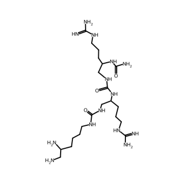 N=C(N)NCCCC(CNC(=O)NC(CCCNC(=N)N)CNC(=O)NCCCCC(N)CN)NC(N)=O